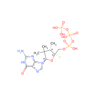 C[C@H]1C(C)(C)[C@H](n2cnc3c(=O)[nH]c(N)nc32)O[C@]1(F)COP(=O)(O)OP(=O)(O)OP(=O)(O)O